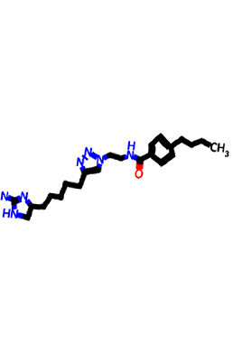 CCCCc1ccc(C(=O)NCCn2cc(CCCCCC3CNC(N)=N3)nn2)cc1